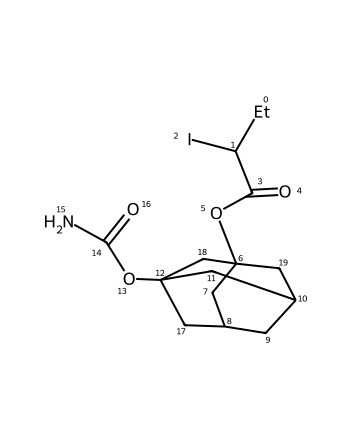 CCC(I)C(=O)OC12CC3CC(CC(OC(N)=O)(C3)C1)C2